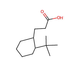 CC(C)(C)C1CCCCC1CCC(=O)O